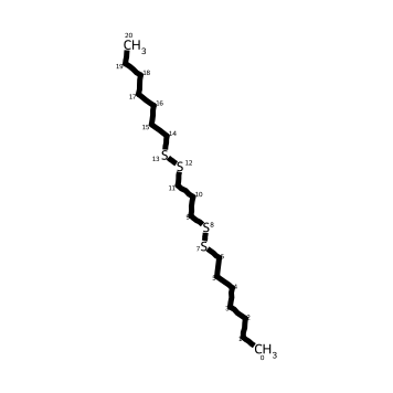 CCCCCCCSSCCCSSCCCCCCC